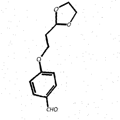 O=Cc1ccc(OCCC2OCCO2)cc1